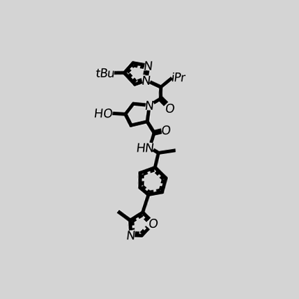 Cc1ncoc1-c1ccc(C(C)NC(=O)C2CC(O)CN2C(=O)C(C(C)C)n2cc(C(C)(C)C)cn2)cc1